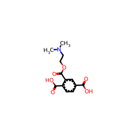 CN(C)CCOC(=O)c1cc(C(=O)O)ccc1C(=O)O